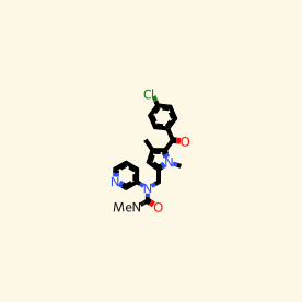 CNC(=O)N(Cc1cc(C)c(C(=O)c2ccc(Cl)cc2)n1C)c1cccnc1